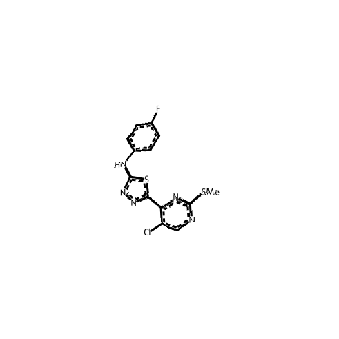 CSc1ncc(Cl)c(-c2nnc(Nc3ccc(F)cc3)s2)n1